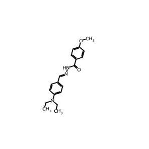 CCN(CC)c1ccc(/C=N/NC(=O)c2ccc(OC)cc2)cc1